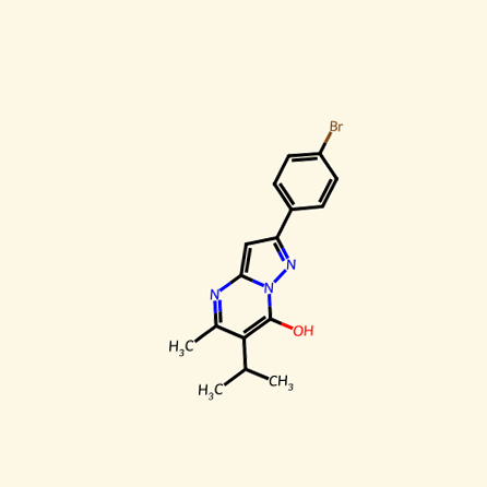 Cc1nc2cc(-c3ccc(Br)cc3)nn2c(O)c1C(C)C